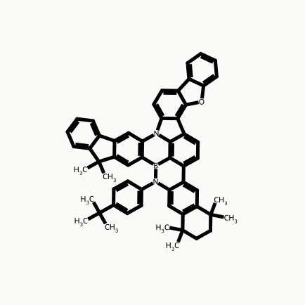 CC(C)(C)c1ccc(N2B3c4cc5c(cc4-n4c6ccc7c8ccccc8oc7c6c6ccc(c3c64)-c3cc4c(cc32)C(C)(C)CCC4(C)C)-c2ccccc2C5(C)C)cc1